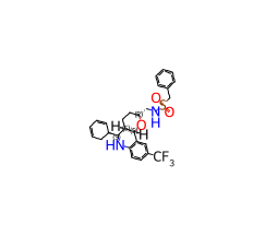 O=S(=O)(Cc1ccccc1)NC[C@H]1CC[C@@H]2[C@H](O1)c1cc(C(F)(F)F)ccc1N[C@H]2C1C=CC=CC1